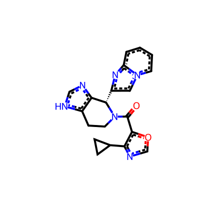 O=C(c1ocnc1C1CC1)N1CCc2[nH]cnc2[C@@H]1c1cn2ccccc2n1